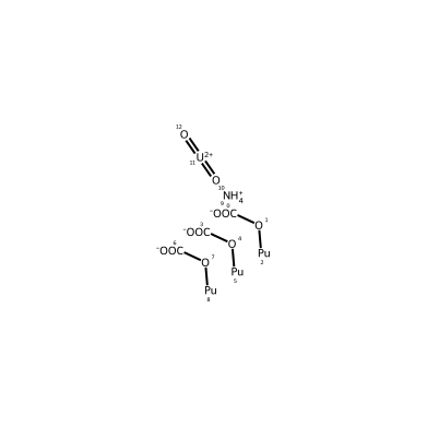 O=C([O-])[O][Pu].O=C([O-])[O][Pu].O=C([O-])[O][Pu].[NH4+].[O]=[U+2]=[O]